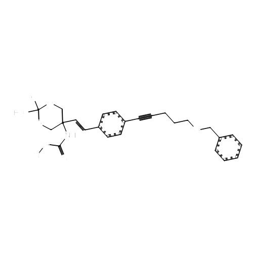 CC(C)(C)OC(=O)NC1(C=Cc2ccc(C#CCCCOCc3ccccc3)cc2)COC(C)(C)OC1